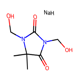 CC1(C)C(=O)N(CO)C(=O)N1CO.[NaH]